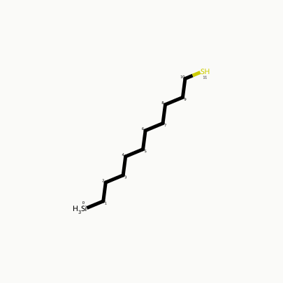 [SiH3]CCCCCCCCCCS